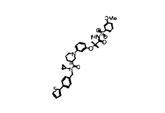 COc1cccc(S(=O)(=O)NC(=O)C(C)(C)Oc2cccc(N3CCC[C@H](C(=O)N(Cc4ccc(-c5cccs5)cc4)C4CC4)C3)c2)c1